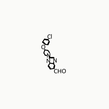 O=Cc1ccc2nc(N3CCC(Oc4ccc(Cl)cc4)CC3)cnc2c1